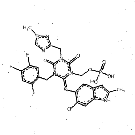 Cc1cc2cc(N=c3n(COP(=O)(O)O)c(=O)n(Cc4ncn(C)n4)c(=O)n3Cc3cc(F)c(F)cc3F)c(Cl)cc2[nH]1